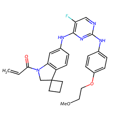 C=CC(=O)N1CC2(CCC2)c2ccc(Nc3nc(Nc4ccc(OCCOC)cc4)ncc3F)cc21